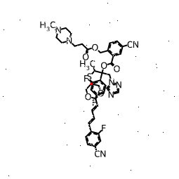 CC(SC1COC(C=CC=Cc2ccc(C#N)cc2F)OC1)C(Cn1cncn1)(OC(=O)c1cc(C#N)ccc1COC(=O)CCN1CCN(C)CC1)c1ccc(F)cc1F